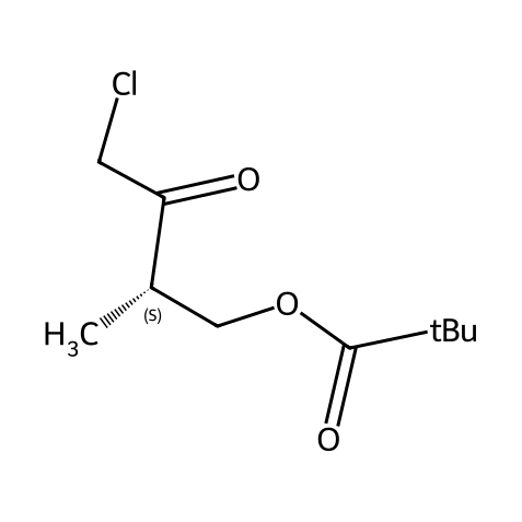 C[C@@H](COC(=O)C(C)(C)C)C(=O)CCl